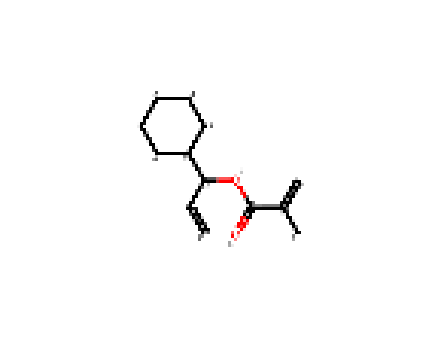 C=CC(OC(=O)C(=C)C)C1CCCCC1